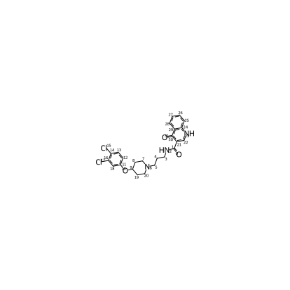 O=C(NCCCN1CCC(Oc2ccc(Cl)c(Cl)c2)CC1)c1c[nH]c2ccccc2c1=O